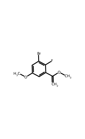 C=C(OC)c1cc(OC)cc(Br)c1F